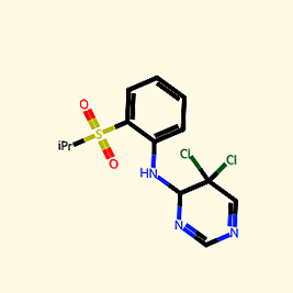 CC(C)S(=O)(=O)c1ccccc1NC1N=CN=CC1(Cl)Cl